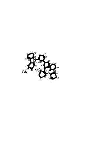 N#CC1=CCCC(n2c3c(c4ccccc42)CCC=C3)=C1C1=CC=CC(c2cccc(-n3c4ccccc4c4cc(C#N)ccc43)c2)C1